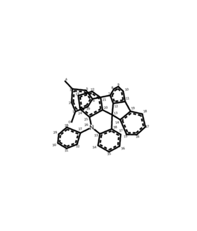 Cc1cc(C)cc(-c2cccc3c2C2(c4ccccc4-3)c3ccccc3N(c3ccccc3)c3ccccc32)c1